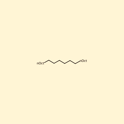 [CH]CCCCCCCCCCCCCCCCCCCC[CH2]